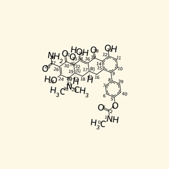 CNC(=O)Oc1ccc(-c2ccc(O)c3c2C[C@H]2C[C@H]4[C@H](N(C)C)C(O)=C(C(N)=O)C(=O)[C@@]4(O)C(O)=C2C3=O)cc1